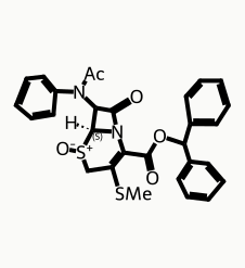 CSC1=C(C(=O)OC(c2ccccc2)c2ccccc2)N2C(=O)C(N(C(C)=O)c3ccccc3)[C@@H]2[S+]([O-])C1